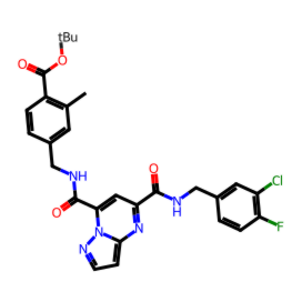 Cc1cc(CNC(=O)c2cc(C(=O)NCc3ccc(F)c(Cl)c3)nc3ccnn23)ccc1C(=O)OC(C)(C)C